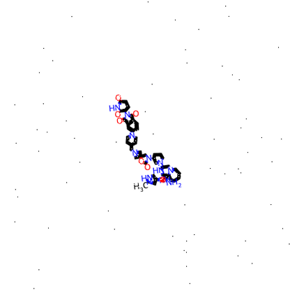 CN1CC(NC2NC(N3CCC[C@@H](N4CC5(CN(CC6CCN(c7ccc8c(c7)C(=O)N([C@H]7CCC(=O)NC7=O)C8=O)CC6)C5)OC4=O)C3)CN3CCCCCC23C(N)=O)CN1